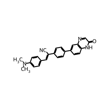 CN(C)c1ccc(C=C(C#N)c2ccc(-c3ccc4[nH]c(=O)cnc4c3)cc2)cc1